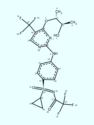 C[C@@H](O)[C@@H](C)Oc1nc(Nc2ccc([S@@](=O)(=NC(=O)C(F)(F)F)C3CC3)cc2)ncc1C(F)(F)F